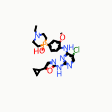 CCN1CC[P](O)(c2ccc(Nc3nc(Nc4ncc(C5CC5)o4)ncc3Cl)c(OC)c2)CC1